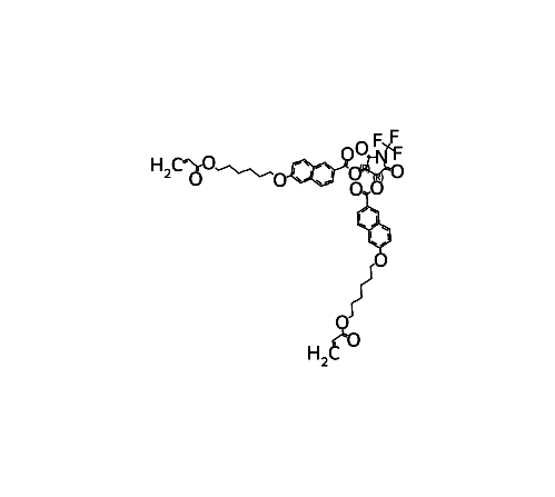 C=CC(=O)OCCCCCCOc1ccc2cc(C(=O)O[C@H]3C(=O)N(C(F)(F)F)C(=O)[C@@H]3OC(=O)c3ccc4cc(OCCCCCCOC(=O)C=C)ccc4c3)ccc2c1